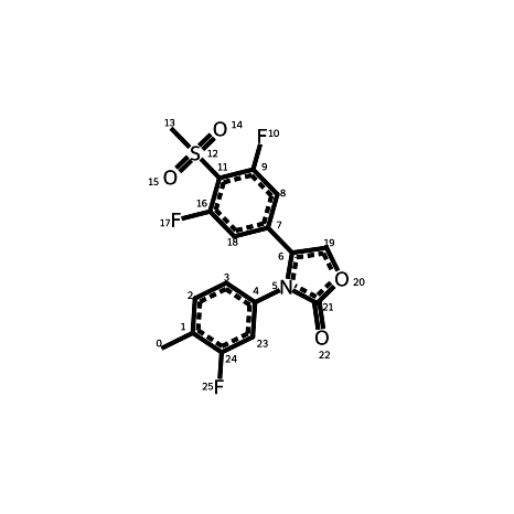 Cc1ccc(-n2c(-c3cc(F)c(S(C)(=O)=O)c(F)c3)coc2=O)cc1F